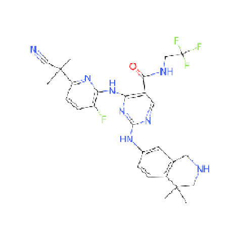 CC(C)(C#N)c1ccc(F)c(Nc2nc(Nc3ccc4c(c3)CNCC4(C)C)ncc2C(=O)NCC(F)(F)F)n1